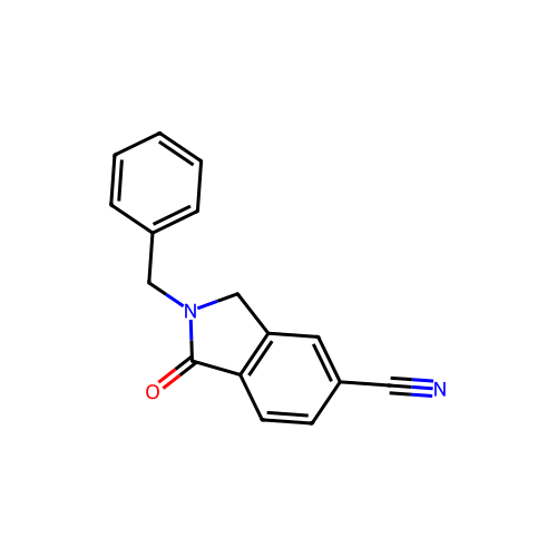 N#Cc1ccc2c(c1)CN(Cc1ccccc1)C2=O